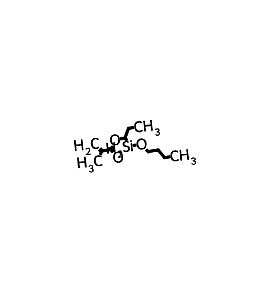 C=C(C)C(=O)OC(CC)[SiH2]OCCCC